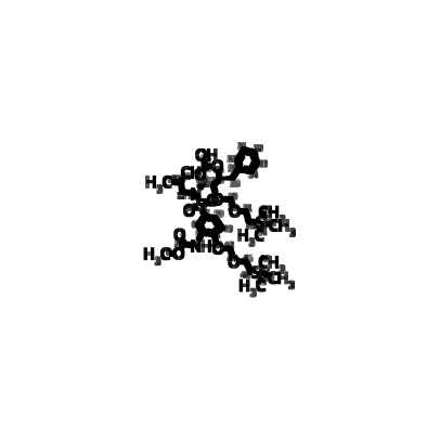 COC(=O)Nc1cc(S(=O)(=O)N(CC(C)C)C[C@@H](OCOCC[Si](C)(C)C)[C@H](Cc2ccccc2)OC(=O)O)ccc1OCOCC[Si](C)(C)C